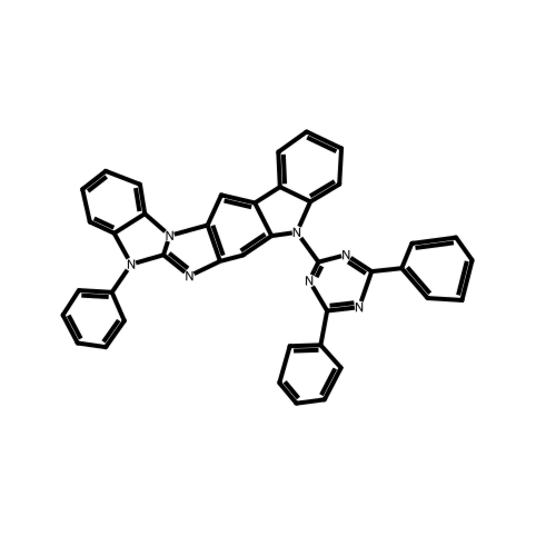 c1ccc(-c2nc(-c3ccccc3)nc(-n3c4ccccc4c4cc5c(cc43)nc3n(-c4ccccc4)c4ccccc4n53)n2)cc1